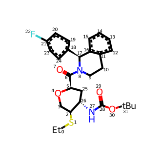 CCS[C@H]1CO[C@@H](C(=O)N2CCc3ccccc3[C@@H]2c2ccc(F)cc2)C[C@@H]1NC(=O)OC(C)(C)C